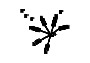 N#[C][Ru-4]([C]#N)([C]#N)([C]#N)([C]#N)[C]#N.[K+].[K+].[K+].[K+]